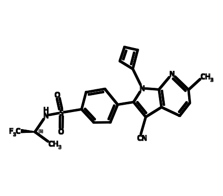 Cc1ccc2c(C#N)c(-c3ccc(S(=O)(=O)N[C@@H](C)C(F)(F)F)cc3)n(C3=CC=C3)c2n1